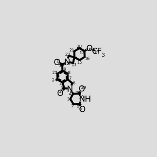 O=C1CCC(N2Cc3cc(C(=O)N4CC5(CCC(OC(F)(F)F)CC5)C4)ccc3C2=O)C(=O)N1